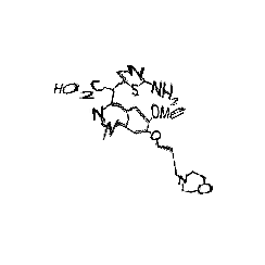 COc1cc2c(C(C(=O)O)c3cnc(N)s3)ncnc2cc1OCCCN1CCOCC1